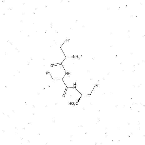 CC(C)C[C@H](NC(=O)[C@H](CC(C)C)NC(=O)[C@@H](N)CC(C)C)C(=O)O